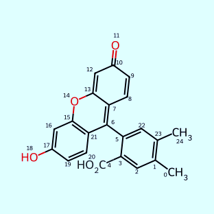 Cc1cc(C(=O)O)c(-c2c3ccc(=O)cc-3oc3cc(O)ccc23)cc1C